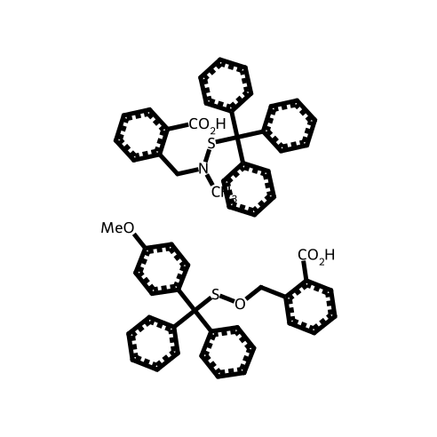 CN(Cc1ccccc1C(=O)O)SC(c1ccccc1)(c1ccccc1)c1ccccc1.COc1ccc(C(SOCc2ccccc2C(=O)O)(c2ccccc2)c2ccccc2)cc1